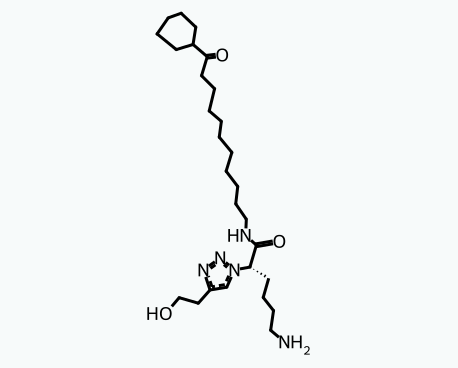 NCCCC[C@@H](C(=O)NCCCCCCCCCCC(=O)C1CCCCC1)n1cc(CCO)nn1